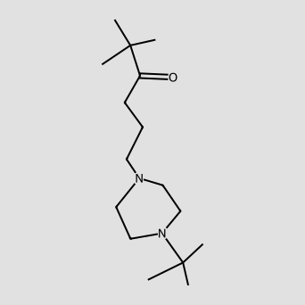 CC(C)(C)C(=O)CCCN1CCN(C(C)(C)C)CC1